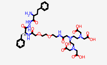 NC(CCc1ccccc1)C(=O)NNC(=O)[C@@H](Cc1ccccc1)NC(=O)COCCOCCNC(=O)CN(CCN(CC(=O)O)CC(=O)O)CCN(CC(=O)O)CC(=O)O